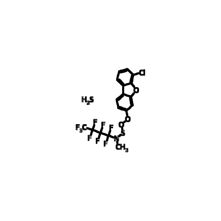 CN(SOOc1ccc2c(c1)oc1c(Cl)cccc12)C(F)(F)C(F)(F)C(F)(F)C(F)(F)F.S